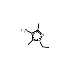 CCn1nc(C)c(N)c1C